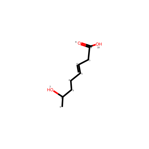 CC(O)CCC=CCC(=O)O